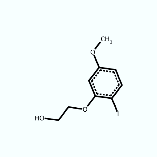 COc1ccc(I)c(OCCO)c1